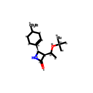 CCOC(=O)C1CC=C([C@H]2NC(=O)[C@@H]2C(C)O[Si](C)(C)C(C)(C)C)CC1